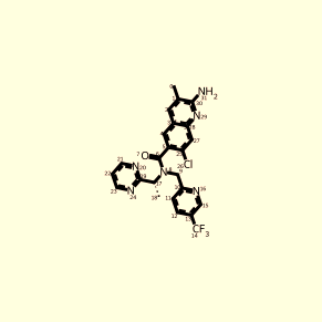 Cc1cc2cc(C(=O)N(Cc3ccc(C(F)(F)F)cn3)[C@H](C)c3ncccn3)c(Cl)cc2nc1N